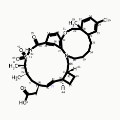 C[C@@H]1[C@@H](C)C[C@H](CC(=O)O)/C=C/[C@@H]2CC[C@H]2CN2CCCCC3C=C(Cl)C=CC3(C)COc3ccc(cc32)C(=O)NS1(=O)=O